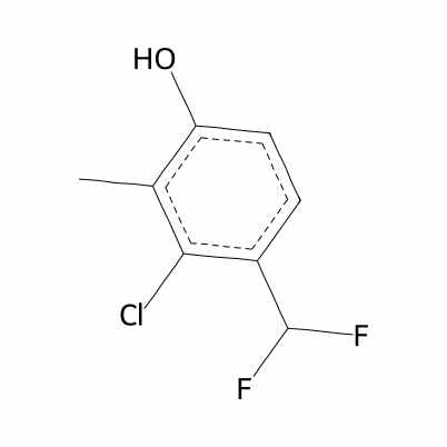 Cc1c(O)ccc(C(F)F)c1Cl